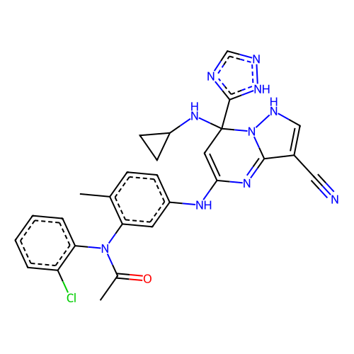 CC(=O)N(c1cc(NC2=CC(NC3CC3)(c3ncn[nH]3)N3NC=C(C#N)C3=N2)ccc1C)c1ccccc1Cl